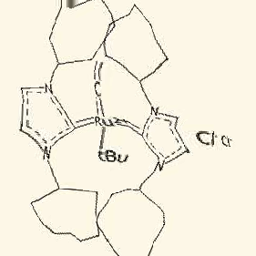 C=[C]=[Ru+2](=[c]1n(C2CCCCC2)ccn1C1CCCCC1)(=[c]1n(C2CCCCC2)ccn1C1CCCCC1)[C](C)(C)C.[Cl-].[Cl-]